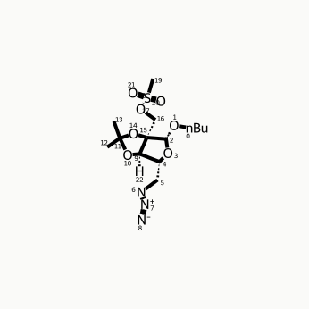 CCCCO[C@@H]1O[C@H](CN=[N+]=[N-])[C@H]2OC(C)(C)O[C@@]12COS(C)(=O)=O